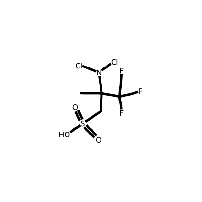 CC(CS(=O)(=O)O)(N(Cl)Cl)C(F)(F)F